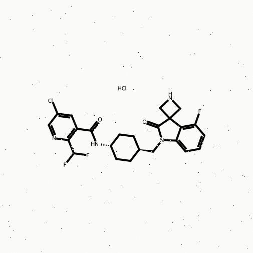 Cl.O=C(N[C@H]1CC[C@H](CN2C(=O)C3(CNC3)c3c(F)cccc32)CC1)c1cc(Cl)cnc1C(F)F